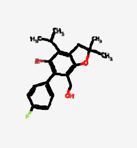 CC(C)c1c(Br)c(-c2ccc(F)cc2)c(CO)c2c1CC(C)(C)O2